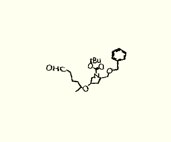 CC(CCCC=O)OC1C[C@H](COCc2ccccc2)N(C(=O)OC(C)(C)C)C1